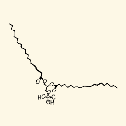 CCCCCCCCCCCCCCCCCCC(=O)OC[C@H](COP(=O)(O)O)OC(=O)CCCCCCCCCCCCCCCCCC